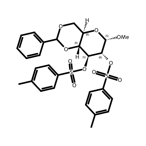 CO[C@H]1O[C@@H]2COC(c3ccccc3)O[C@H]2[C@H](OS(=O)(=O)c2ccc(C)cc2)[C@H]1OS(=O)(=O)c1ccc(C)cc1